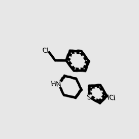 C1CCNCC1.Cl.ClCc1ccccc1.c1ccsc1